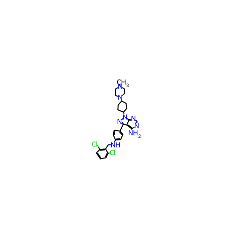 CN1CCN(C2CCC(n3nc(-c4ccc(NCc5c(Cl)cccc5Cl)cc4)c4c(N)ncnc43)CC2)CC1